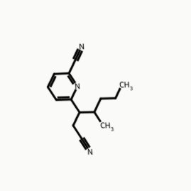 CCCC(C)C(CC#N)c1cccc(C#N)n1